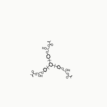 C=C(C)C(=O)OCC(O)COc1ccc(C(C)(C)c2cc(C(C)(C)c3ccc(OCC(O)COC(=O)C(=C)C)cc3)cc(C(C)(C)c3ccc(OCC(O)COC(=O)C(=C)C)cc3)c2)cc1